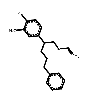 C=CNCC(CCCc1ccccc1)c1ccc(Cl)c(C)c1